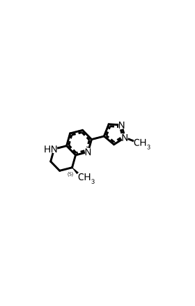 C[C@H]1CCNc2ccc(-c3cnn(C)c3)nc21